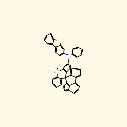 C[Si]1(C)c2ccccc2C2(c3ccccc3-c3cccc4cccc2c34)c2ccc(N(c3ccccc3)c3ccc4c(c3)oc3ccccc34)cc21